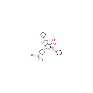 CN(C)c1ccc(-c2nc(OCc3ccccc3)c(C(=O)O)c(OCc3ccccc3)c2C=O)cc1